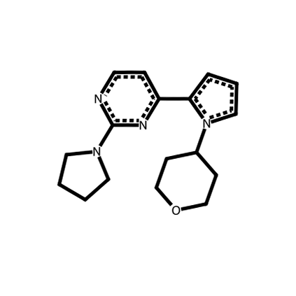 c1cc(-c2ccnc(N3CCCC3)n2)n(C2CCOCC2)c1